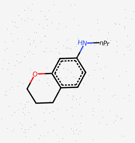 CCCNc1ccc2c(c1)OCCC2